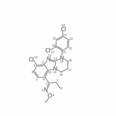 CC/C(=N\OC)c1ccc(Cl)c2nc3n(c12)CCCN3c1ccc(Cl)cc1Cl